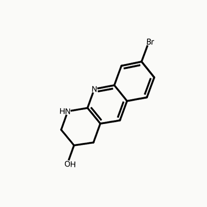 OC1CNc2nc3cc(Br)ccc3cc2C1